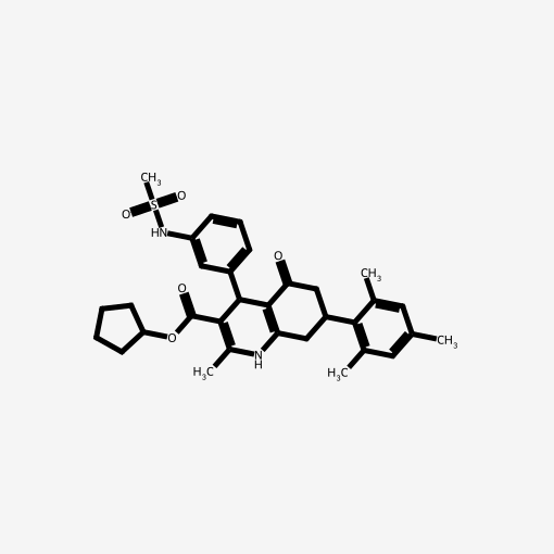 CC1=C(C(=O)OC2CCCC2)C(c2cccc(NS(C)(=O)=O)c2)C2=C(CC(c3c(C)cc(C)cc3C)CC2=O)N1